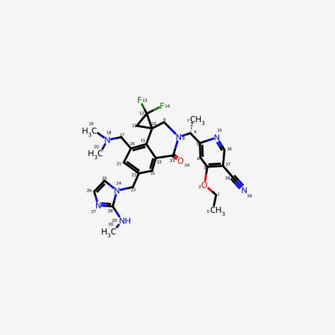 CCOc1cc([C@@H](C)N2CC3(CC3(F)F)c3c(CN(C)C)cc(Cn4ccnc4NC)cc3C2=O)ncc1C#N